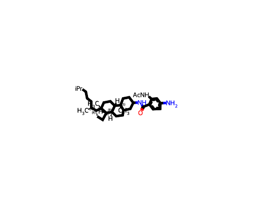 CC(=O)Nc1cc(N)ccc1C(=O)NC1CC[C@@]2(C)C(CC[C@H]3[C@@H]4CC[C@H]([C@H](C)CCCC(C)C)[C@@]4(C)CC[C@@H]32)C1